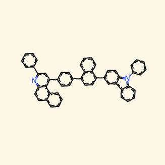 c1ccc(-c2cc(-c3ccc(-c4ccc(-c5ccc6c(c5)c5ccccc5n6-c5ccccc5)c5ccccc45)cc3)c3c(ccc4ccccc43)n2)cc1